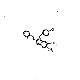 Cc1cc2nc(/C=C/c3ccccn3)n(Cc3ccc(Cl)cc3)c2cc1C